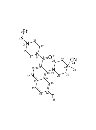 CCSN1CCN(C(=O)c2cnc3ccc(F)cc3c2N2CCC(C)(C#N)CC2)CC1